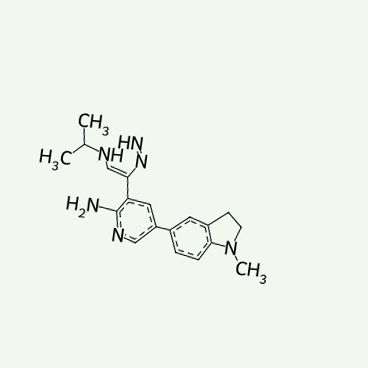 CC(C)N/C=C(\N=N)c1cc(-c2ccc3c(c2)CCN3C)cnc1N